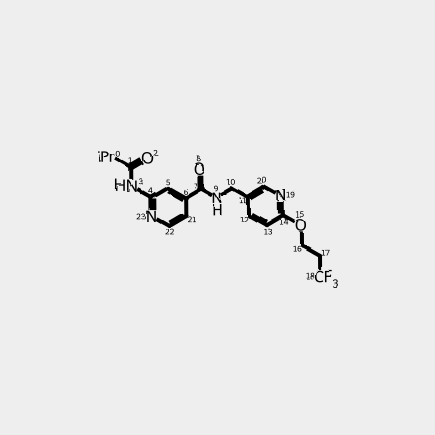 CC(C)C(=O)Nc1cc(C(=O)NCc2ccc(OCCC(F)(F)F)nc2)ccn1